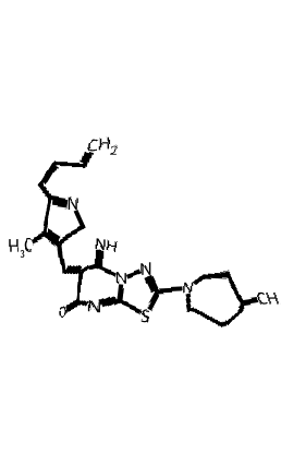 C=C/C=C\C1=NCC(/C=C2\C(=N)N3N=C(N4CCC(C)CC4)SC3=NC2=O)=C1C